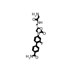 NCC(=O)NC[C@H]1CN(c2ccc(-c3ccc(C(N)=O)cc3)c(F)c2)C(=O)O1